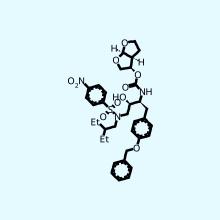 CCC(CC)CN(C[C@@H](O)[C@H](Cc1ccc(OCc2ccccc2)cc1)NC(=O)O[C@H]1CO[C@H]2OCC[C@H]21)S(=O)(=O)c1ccc([N+](=O)[O-])cc1